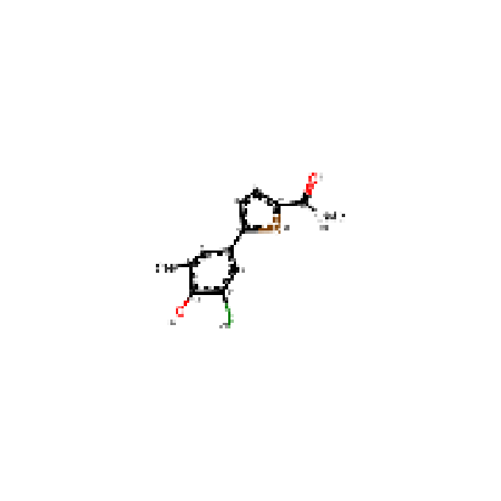 [C-]#[N+]c1cc(-c2ccc(C(=O)OC)s2)cc(F)c1O